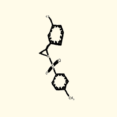 Cc1ccc(S(=O)(=O)N2CC2c2cccc(Cl)c2)cc1